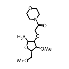 B[C@@H]1O[C@H](COC)C(OC)[C@@H]1OCC(=O)N1CCOCC1